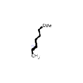 [CH2]/C=C/CCCSC